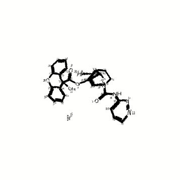 O=C(O[C@H]1C[N+]2(C(=O)Nc3cccnn3)CCC1CC2)C1(O)c2ccccc2Oc2ccccc21.[Br-]